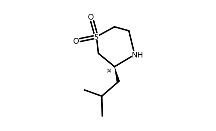 CC(C)C[C@H]1CS(=O)(=O)CCN1